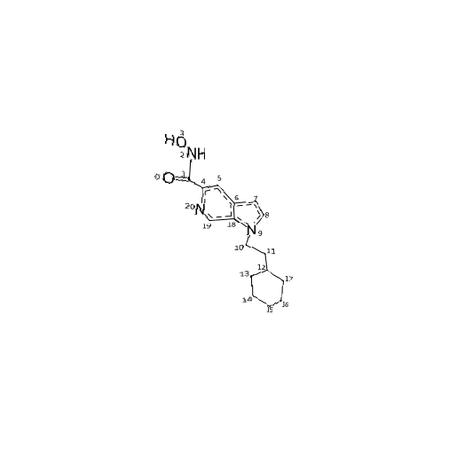 O=C(NO)c1cc2ccn(CCC3CCCCC3)c2cn1